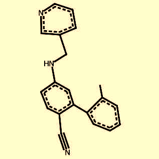 Cc1ccccc1-c1cc(NCc2cccnc2)ccc1C#N